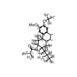 [2H]C([2H])([2H])Oc1cc2c(cc1OC)C1([2H])N(CC2)C([2H])([2H])C([2H])(C([2H])([2H])C([2H])(C)C([2H])([2H])[2H])C([2H])(OC(=O)[C@@H](N)C(C)C)C1([2H])[2H]